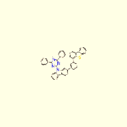 CN1C(c2ccccc2)=NC(n2c3ccccc3c3ccc(-c4cccc(-c5cccc6c5sc5ccccc56)c4)cc32)=NC1c1ccccc1